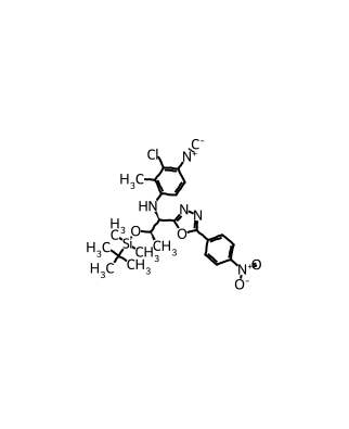 [C-]#[N+]c1ccc(N[C@@H](c2nnc(-c3ccc([N+](=O)[O-])cc3)o2)[C@@H](C)O[Si](C)(C)C(C)(C)C)c(C)c1Cl